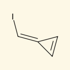 IC=C1C=C1